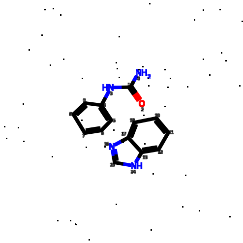 NC(=O)Nc1ccccc1.c1ccc2[nH]cnc2c1